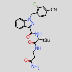 CC(C)(C)[C@H](NC(=O)c1nn(Cc2ccc(C#N)cc2F)c2ccccc12)C(=O)NCCC(N)=O